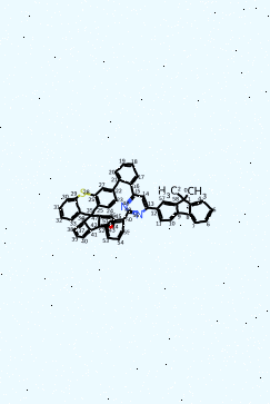 CC1(C)c2ccccc2-c2ccc(-c3cc(-c4ccccc4-c4ccc5c(c4)Sc4ccccc4C54c5ccccc5-c5ccccc54)nc(-c4ccccc4)n3)cc21